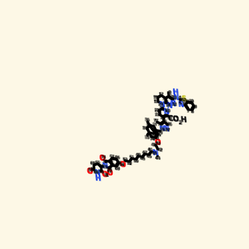 Cc1c(Nc2nc3ccccc3s2)nnc2c1CCCN2c1ccc(-c2cnn(CC34CC5(C)CC(C)(C3)CC(OCCN(C)CCCCCCCCCOc3ccc6c(c3)C(=O)N(C3CCC(=O)NC3=O)C6=O)(C5)C4)c2C)c(C(=O)O)n1